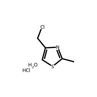 Cc1nc(CCl)cs1.Cl.O